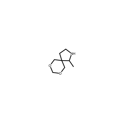 CC1NCCC12COCOC2